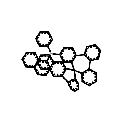 c1ccc(N(c2ccc3c(c2)C2(c4ccccc4-c4ccccc4-3)c3ccccc3-c3cc4ccccc4cc32)c2cccc3ccccc23)cc1